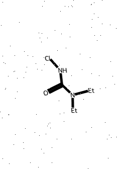 CCN(CC)C(=O)NCl